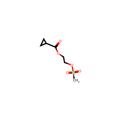 CS(=O)(=O)OCCOC(=O)C1CC1